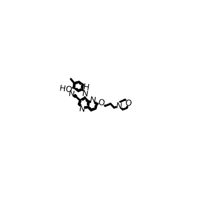 Cc1ccc(Nc2c(C#N)cnc3ccc(OCCCN4CCOCC4)nc23)cc1O